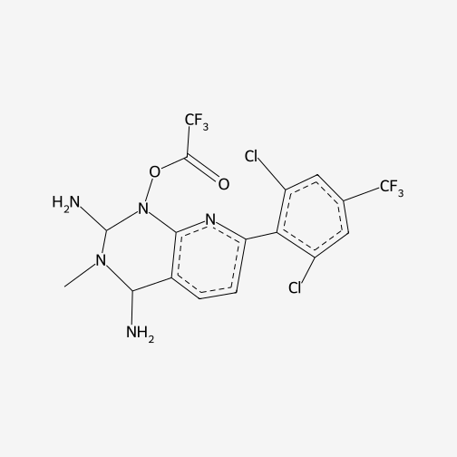 CN1C(N)c2ccc(-c3c(Cl)cc(C(F)(F)F)cc3Cl)nc2N(OC(=O)C(F)(F)F)C1N